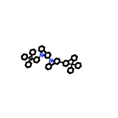 c1ccc(C2(c3ccccc3)c3ccccc3-c3cc(-c4ccc5c(c4)c4ccccc4n5-c4ccc5c6ccccc6n(-c6cccc([Si](c7ccccc7)(c7ccccc7)c7ccccc7)c6)c5c4)ccc32)cc1